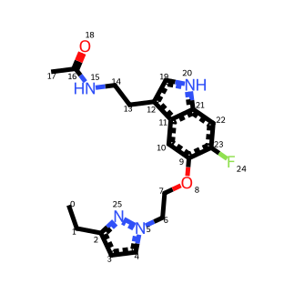 CCc1ccn(CCOc2cc3c(CCNC(C)=O)c[nH]c3cc2F)n1